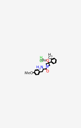 CCCCOC1(c2ccccc2C)CN(C(=O)[C@H](N)Cc2ccc(OC)cc2)C1.Cl